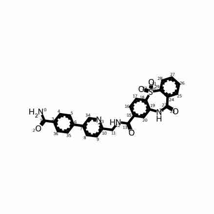 NC(=O)c1ccc(-c2ccc(CNC(=O)c3ccc4c(c3)NC(=O)c3ccccc3S4(=O)=O)nc2)cc1